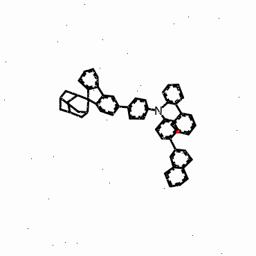 c1ccc(-c2ccccc2N(c2ccc(-c3ccc4c(c3)-c3ccccc3C43C4CC5CC(C4)CC3C5)cc2)c2ccc(-c3ccc4ccccc4c3)cc2)cc1